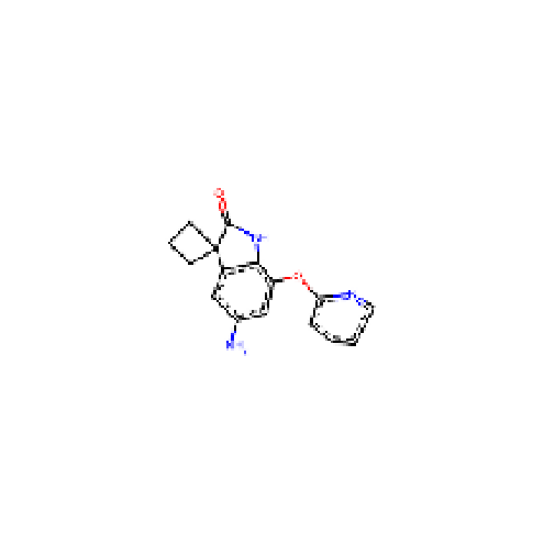 Nc1cc(Oc2ccccn2)c2c(c1)C1(CCC1)C(=O)N2